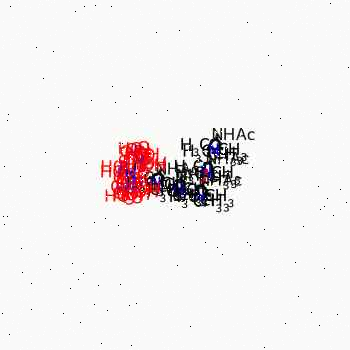 CC(=O)NC1CC(C)(C)N(C)C(C)(C)C1.CC(=O)NC1CC(C)(C)N(C)C(C)(C)C1.CC(=O)NC1CC(C)(C)N(C)C(C)(C)C1.CC(=O)NC1CC(C)(C)N(C)C(C)(C)C1.CC(=O)NC1CC(C)(C)N(C)C(C)(C)C1.O=P(O)(O)C(N(CCN(C(P(=O)(O)O)P(=O)(O)O)C(P(=O)(O)O)P(=O)(O)O)CCN(C(P(=O)(O)O)P(=O)(O)O)C(P(=O)(O)O)P(=O)(O)O)P(=O)(O)O